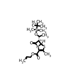 C=CCOC(=O)C1=C(C)S[C@@H]2[C@@H](C(C)O[Si](C)(C)C(C)(C)C)C(=O)N12